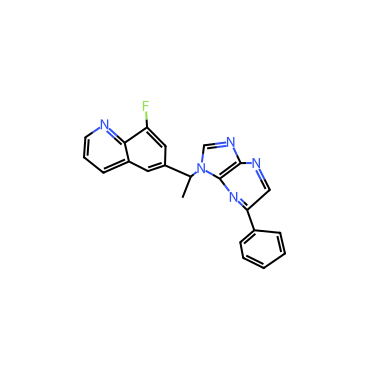 CC(c1cc(F)c2ncccc2c1)n1cnc2ncc(-c3ccccc3)nc21